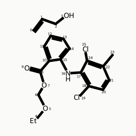 C=CCO.CCOCOC(=O)c1ccccc1Nc1c(Cl)ccc(C)c1Cl